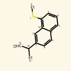 CCSc1cccc2ccc(C(C=O)CC)cc12